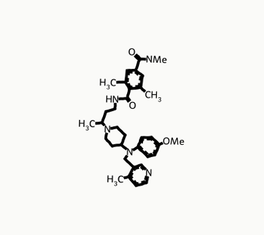 CNC(=O)c1cc(C)c(C(=O)NCCC(C)N2CCC(N(Cc3cnccc3C)c3ccc(OC)cc3)CC2)c(C)c1